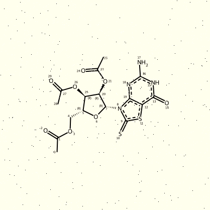 CC(=O)OC[C@H]1O[C@@H](n2c(=S)sc3c(=O)[nH]c(N)nc32)[C@H](OC(C)=O)[C@@H]1OC(C)=O